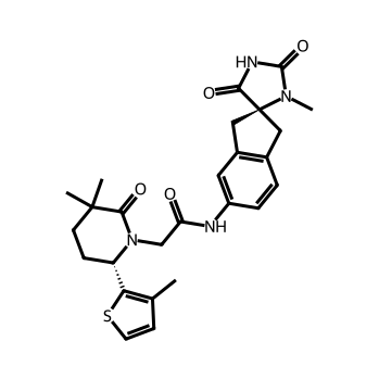 Cc1ccsc1[C@@H]1CCC(C)(C)C(=O)N1CC(=O)Nc1ccc2c(c1)C[C@@]1(C2)C(=O)NC(=O)N1C